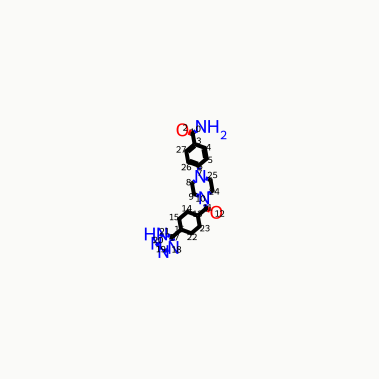 NC(=O)c1ccc(N2CCN(C(=O)C3CCC(c4nnn[nH]4)CC3)CC2)cc1